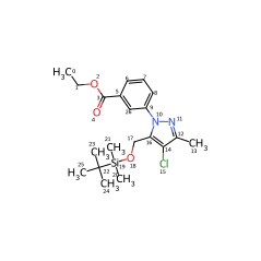 CCOC(=O)c1cccc(-n2nc(C)c(Cl)c2CO[Si](C)(C)C(C)(C)C)c1